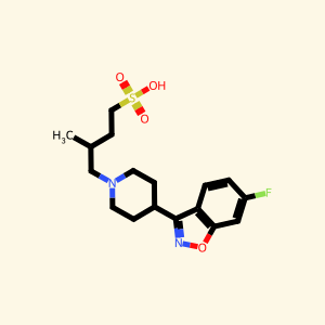 CC(CCS(=O)(=O)O)CN1CCC(c2noc3cc(F)ccc23)CC1